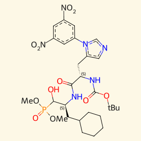 COP(=O)(OC)C(O)[C@H](CC1CCCCC1)NC(=O)[C@H](Cc1cncn1-c1cc([N+](=O)[O-])cc([N+](=O)[O-])c1)NC(=O)OC(C)(C)C